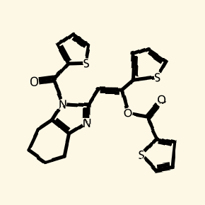 O=C(OC(=Cc1nc2c(n1C(=O)c1cccs1)CCCC2)c1cccs1)c1cccs1